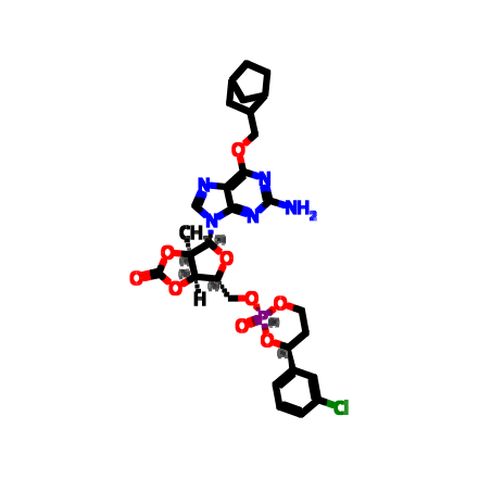 C[C@@]12OC(=O)O[C@@H]1[C@@H](CO[P@@]1(=O)OCC[C@@H](c3cccc(Cl)c3)O1)O[C@H]2n1cnc2c(OCC3CC4CCC3C4)nc(N)nc21